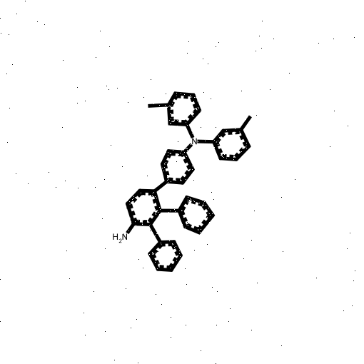 Cc1cccc(N(c2ccc(-c3ccc(N)c(-c4ccccc4)c3-c3ccccc3)cc2)c2cccc(C)c2)c1